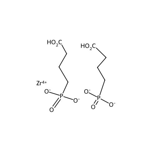 O=C(O)CCCP(=O)([O-])[O-].O=C(O)CCCP(=O)([O-])[O-].[Zr+4]